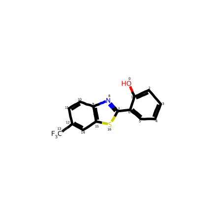 Oc1ccccc1-c1nc2ccc(C(F)(F)F)cc2s1